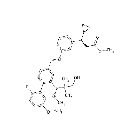 COC(=O)C[C@@H](c1cccc(OCc2ccc(-c3cc(OC)ccc3F)c(C(OC)C(C)(C)CO)c2)c1)C1CC1